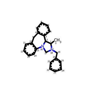 CC1C2c3ccccc3Cc3ccccc3N2CN1Cc1ccccc1